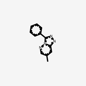 Cc1cnn2c(-c3ccccc3)nnc2c1